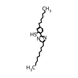 CCCCCCCCCCc1cnc(-c2ccc(CCCCCCC)cc2S)nc1